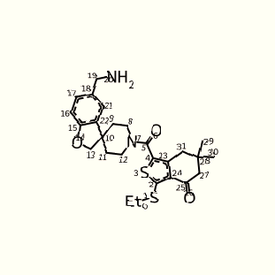 CCSc1sc(C(=O)N2CCC3(CC2)COc2ccc(CN)cc23)c2c1C(=O)CC(C)(C)C2